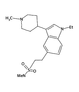 CCn1cc(C2CCN(C)CC2)c2cc(CCS(=O)(=O)NC)ccc21